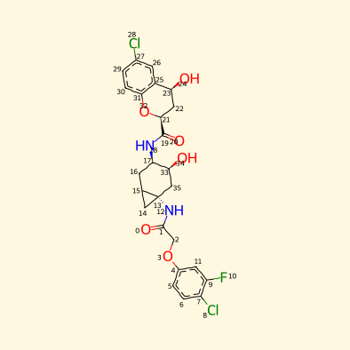 O=C(COc1ccc(Cl)c(F)c1)N[C@]12CC1C[C@@H](NC(=O)[C@@H]1C[C@H](O)c3cc(Cl)ccc3O1)[C@@H](O)C2